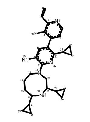 C=Cc1nccc(-c2cc(C#N)c(N3CCCC(C4CC4)NC(C4CC4)C3)nc2C2CC2)c1F